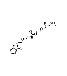 NCC(F)COCCOC(=O)NCCOCCN1C(=O)c2ccccc2C1=O